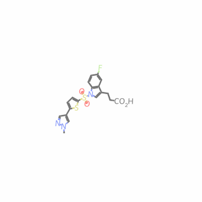 Cn1cc(-c2ccc(S(=O)(=O)n3cc(CCC(=O)O)c4cc(F)ccc43)s2)cn1